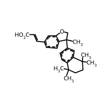 CC1(C)CCC(C)(C)c2cc(C3(C)COc4cc(/C=C/C(=O)O)ccc43)ccc21